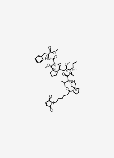 CC[C@H](C)[C@@H]([C@@H](CC(=O)N1CCC[C@H]1[C@H](OC)[C@@H](C)C(=O)N[C@@H](Cc1ccccc1)C(=O)OC)OC)N(C)C(=O)[C@@H](NC[C@]1(C)CCCN1C(=O)CCCCCN1C(=O)C=CC1=O)C(C)C